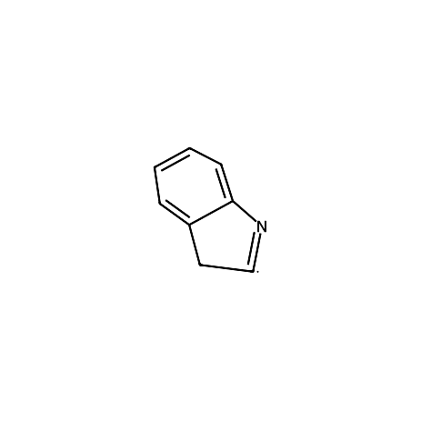 [C]1=Nc2ccccc2C1